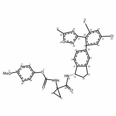 COc1ncc(OC(=O)NC2(C(=O)N[C@H]3CCc4cc(-c5cc(Cl)cc(F)c5-c5noc(C)n5)ccc43)CC2)cn1